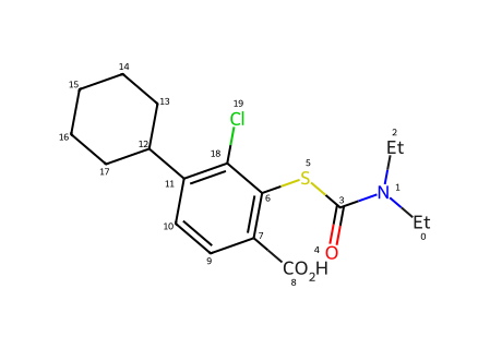 CCN(CC)C(=O)Sc1c(C(=O)O)ccc(C2CCCCC2)c1Cl